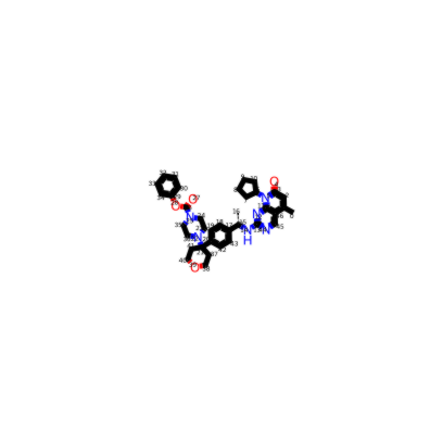 Cc1cc(=O)n(C2CCCC2)c2nc(N[C@@H](C)c3ccc(C4(N5CCN(C(=O)Oc6ccccc6)CC5)CCOCC4)cc3)ncc12